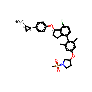 Cc1cc(OC2CCN(S(C)(=O)=O)C2)cc(C)c1-c1ccc(F)c2c1CC[C@H]2Oc1ccc([C@H]2C[C@@H]2C(=O)O)cc1